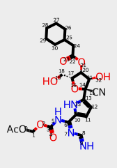 CC(=O)OCOC(=O)N/C(=N/C=N)c1ccc([C@]2(C#N)O[C@H](CO)[C@@H](OC(=O)CC3CCCCC3)[C@H]2O)[nH]1